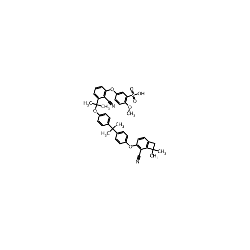 COc1ccc(Oc2cccc(C(C)(C)Oc3ccc(C(C)(C)c4ccc(Oc5ccc6c(c5C#N)C(C)(C)C6)cc4)cc3)c2C#N)cc1S(=O)(=O)O